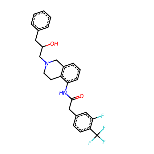 O=C(Cc1ccc(C(F)(F)F)c(F)c1)Nc1cccc2c1CCN(CC(O)Cc1ccccc1)C2